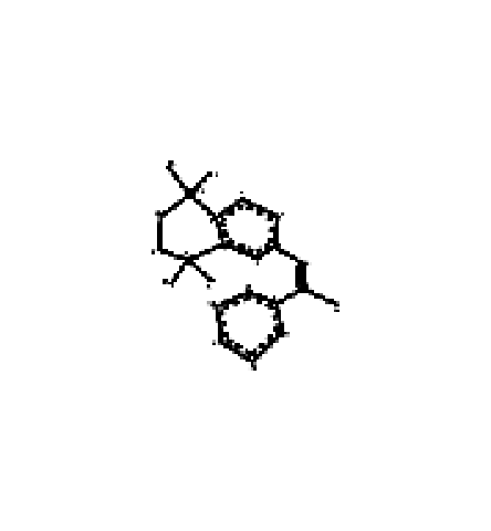 CC(=Cc1ccc2c(c1)C(C)(C)CCC2(C)C)c1ccccc1